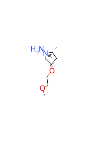 COCCO[C@H]1C[C@@H](C)N(N)C1